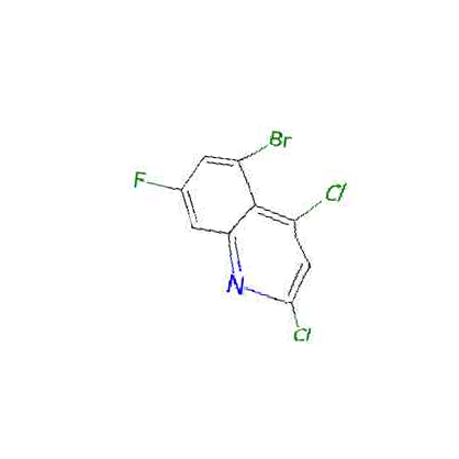 Fc1cc(Br)c2c(Cl)cc(Cl)nc2c1